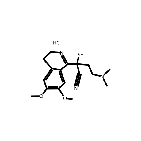 COc1cc2c(cc1OC)C(C(S)(C#N)CCN(C)C)=NCC2.Cl